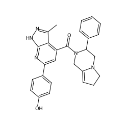 Cc1n[nH]c2nc(-c3ccc(O)cc3)cc(C(=O)N3CC4=CCCN4CC3c3ccccc3)c12